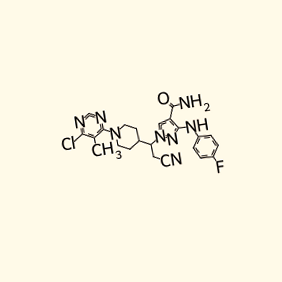 Cc1c(Cl)ncnc1N1CCC(C(CC#N)n2cc(C(N)=O)c(Nc3ccc(F)cc3)n2)CC1